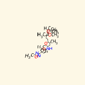 C/C(=C/C[C@@H]1O[C@H](C)[C@H](NC(=O)/C=C\[C@H](C)c2noc(C)n2)C[C@@H]1C)B1OC(C)(C)C(C)(C)O1